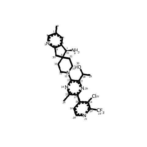 Cc1cnc2c(c1)[C@@H](N)C1(CCN(c3nc(C)c(-c4ccnc(C(F)(F)F)c4Cl)nc3C(C)O)CC1)C2